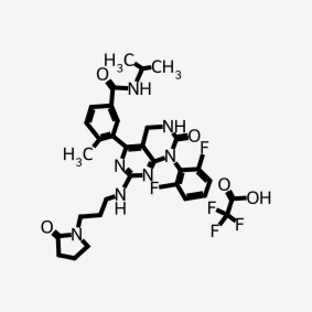 Cc1ccc(C(=O)NC(C)C)cc1-c1nc(NCCCN2CCCC2=O)nc2c1CNC(=O)N2c1c(F)cccc1F.O=C(O)C(F)(F)F